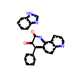 O=C1N=c2c(ccc3ncccc23)=C(c2ccccc2)C1=O.c1ccc2[nH]cnc2c1